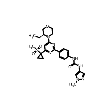 CC[C@H]1COCCN1c1cc(C2(S(C)(=O)=O)CC2)nc(-c2ccc(NC(=O)Nc3cnn(C)c3)cc2)n1